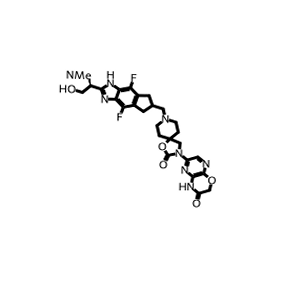 CN[C@H](CO)c1nc2c(F)c3c(c(F)c2[nH]1)CC(CN1CCC2(CC1)CN(c1cnc4c(n1)NC(=O)CO4)C(=O)O2)C3